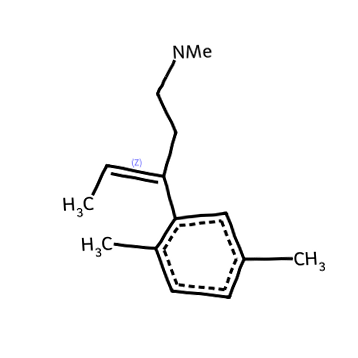 C/C=C(/CCNC)c1cc(C)ccc1C